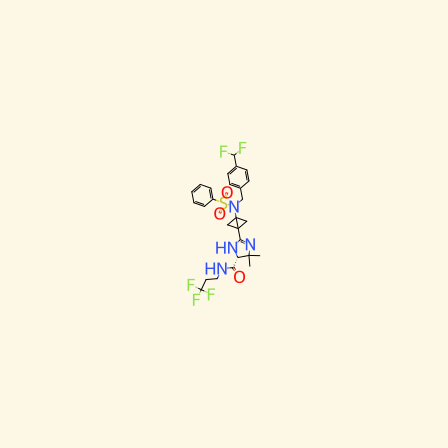 CC1(C)N=C(C23CC2(N(Cc2ccc(C(F)F)cc2)S(=O)(=O)c2ccccc2)C3)N[C@H]1C(=O)NCCC(F)(F)F